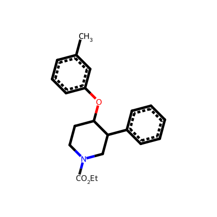 CCOC(=O)N1CCC(Oc2cccc(C)c2)C(c2ccccc2)C1